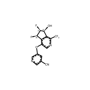 N#Cc1cncc(Oc2cnc(C(F)(F)F)c3c2[C@@H](F)[C@@H](F)[C@H]3O)c1